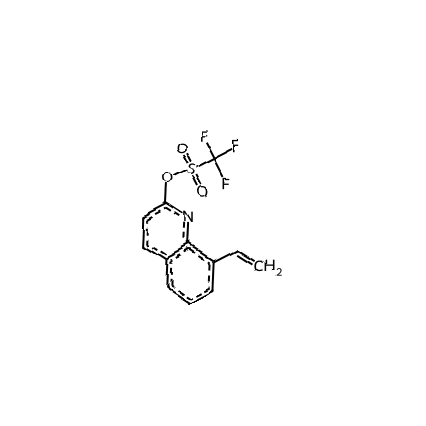 C=Cc1cccc2ccc(OS(=O)(=O)C(F)(F)F)nc12